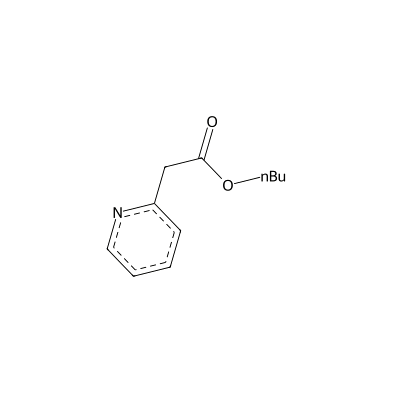 CCCCOC(=O)Cc1ccccn1